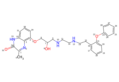 Cc1nc2c(OCC(O)CNCCNCCc3ccccc3Oc3ccccc3)cccc2[nH]c1=O